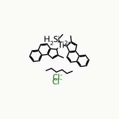 CCCCCC.C[SiH2][Ti+2]([CH]1C(C)=Cc2c1ccc1ccccc21)[CH]1C(C)=Cc2c1ccc1ccccc21.[Cl-].[Cl-]